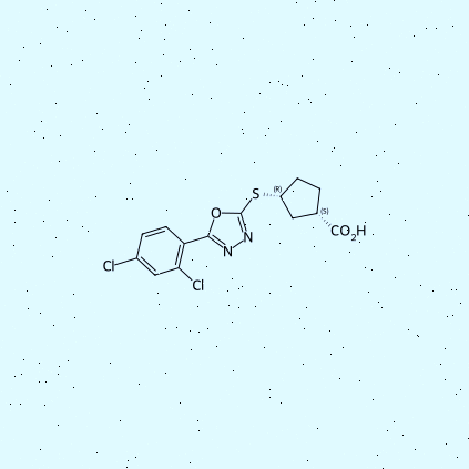 O=C(O)[C@H]1CC[C@@H](Sc2nnc(-c3ccc(Cl)cc3Cl)o2)C1